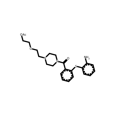 CC(=O)OCCOCCN1CCN(C(=O)c2ccccc2Sc2ccccc2N)CC1